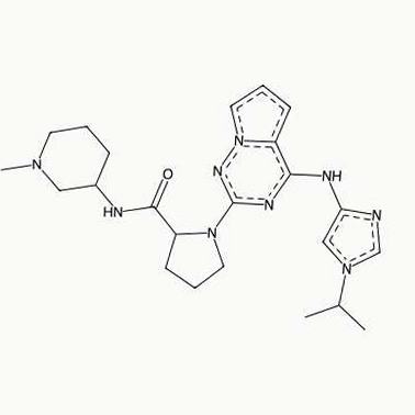 CC(C)n1cnc(Nc2nc(N3CCCC3C(=O)NC3CCCN(C)C3)nn3cccc23)c1